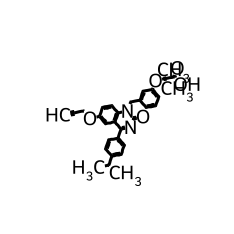 C#CCOc1ccc2c(c1)c(-c1ccc(C(C)C)cc1)nc(=O)n2Cc1cccc(OC(C)(C)C(=O)O)c1